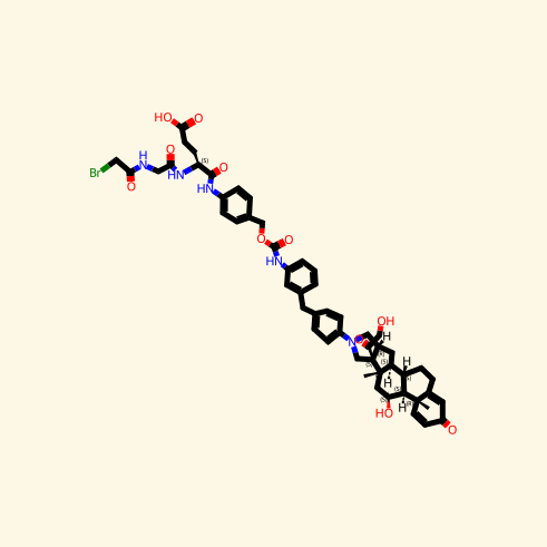 C[C@]12C=CC(=O)C=C1CC[C@@H]1[C@@H]2[C@@H](O)C[C@@]2(C)[C@H]1C[C@H]1CN(c3ccc(Cc4cccc(NC(=O)OCc5ccc(NC(=O)[C@H](CCC(=O)O)NC(=O)CNC(=O)CBr)cc5)c4)cc3)C[C@]12C(=O)CO